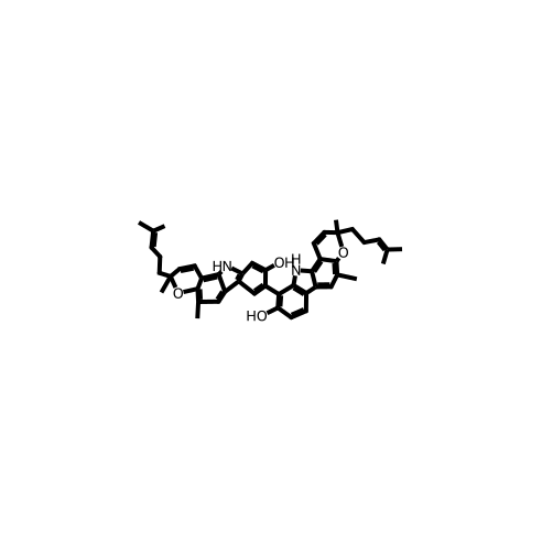 CC(C)=CCCC1(C)C=Cc2c(c(C)cc3c2[nH]c2cc(O)c(-c4c(O)ccc5c4[nH]c4c6c(c(C)cc45)OC(C)(CCC=C(C)C)C=C6)cc23)O1